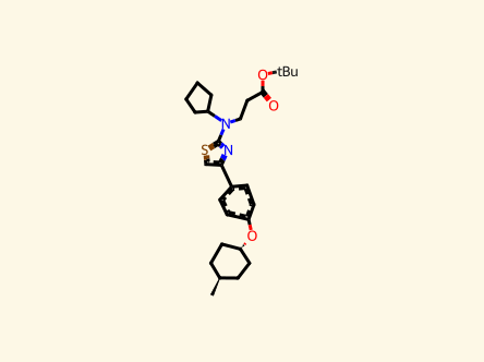 CC(C)(C)OC(=O)CCN(c1nc(-c2ccc(O[C@H]3CC[C@H](C)CC3)cc2)cs1)C1CCCC1